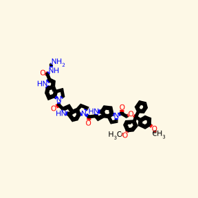 COc1ccc(C(OCC(=O)N2CCc3c2ccc2[nH]c(C(=O)N4CCc5c4ccc4[nH]c(C(=O)N6CCc7c6ccc6[nH]c(C(=O)NCN)cc76)cc54)cc32)(c2ccccc2)c2ccc(OC)cc2)cc1